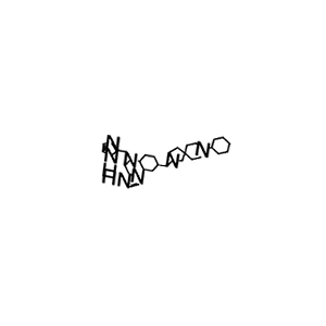 c1c[nH]c(CN(Cc2ncc[nH]2)[C@H]2CC[C@H](CN3CCC4(CCN(C5CCCCC5)CC4)C3)CC2)n1